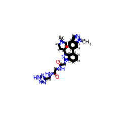 CC(=O)N1CCC(c2nn(CC(=O)NCC(=O)NCc3nn[nH]n3)c3cccc(-c4cc5c(cnn5C)cc4F)c23)CC1